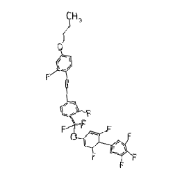 CCCCOc1ccc(C#Cc2ccc(C(F)(F)OC3=CC(F)C(c4cc(F)c(F)c(F)c4)C(F)=C3)c(F)c2)c(F)c1